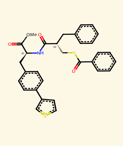 COC(=O)[C@H](Cc1ccc(-c2ccsc2)cc1)NC(=O)[C@@H](CSC(=O)c1ccccc1)Cc1ccccc1